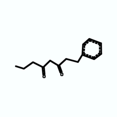 CCCC(=O)CC(=O)CCc1ccccc1